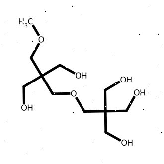 COCC(CO)(CO)COCC(CO)(CO)CO